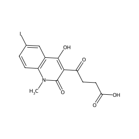 Cn1c(=O)c(C(=O)CCC(=O)O)c(O)c2cc(I)ccc21